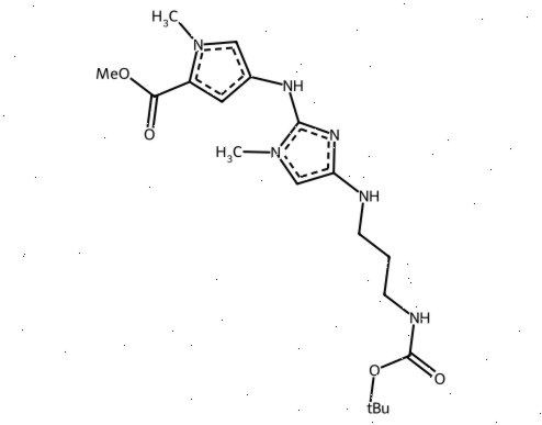 COC(=O)c1cc(Nc2nc(NCCCNC(=O)OC(C)(C)C)cn2C)cn1C